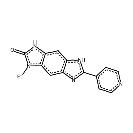 CCn1c(=O)[nH]c2cc3[nH]c(-c4ccncc4)nc3cc21